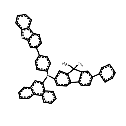 CC1(C)c2cc(-c3ccccc3)ccc2-c2ccc(N(c3ccc(-c4ccc5c(c4)oc4ccccc45)cc3)c3cc4ccccc4c4ccccc34)cc21